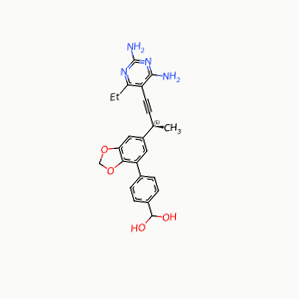 CCc1nc(N)nc(N)c1C#C[C@@H](C)c1cc2c(c(-c3ccc(C(O)O)cc3)c1)OCO2